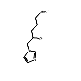 CCCCCCCCCCC(O)Cn1ccnc1